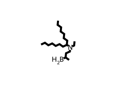 BC(C)CCN(CC)C(CCCCCCC)CCCCCCC